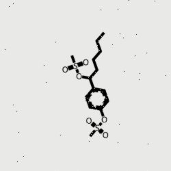 CCCCCC(OS(C)(=O)=O)c1ccc(OS(C)(=O)=O)cc1